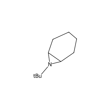 CC(C)(C)N1C2CCCCC21